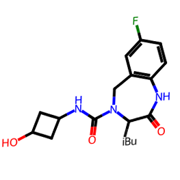 CCC(C)C1C(=O)Nc2ccc(F)cc2CN1C(=O)NC1CC(O)C1